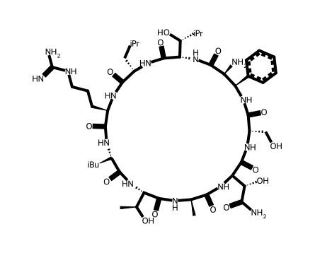 CC[C@H](C)[C@@H]1NC(=O)[C@@H](CCCNC(=N)N)NC(=O)[C@H](CC(C)C)NC(=O)[C@H]([C@H](O)C(C)C)NC(=O)[C@@H](N)[C@@H](c2ccccc2)NC(=O)[C@H](CO)NC(=O)C([C@H](O)C(N)=O)NC(=O)[C@@H](C)NC(=O)[C@H]([C@H](C)O)NC1=O